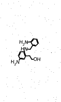 Nc1ccc(NCc2ccccc2N)c(CCO)c1